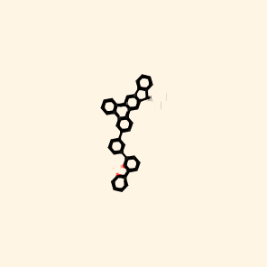 CC1(C)c2ccccc2-c2cc3c4ccccc4c4cc(-c5cccc(-c6cccc7c6oc6ccccc67)c5)ccc4c3cc21